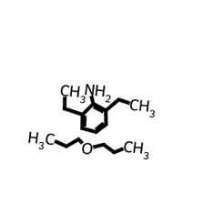 CCCOCCC.CCc1cccc(CC)c1N